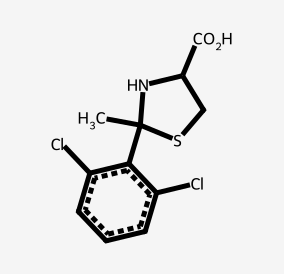 CC1(c2c(Cl)cccc2Cl)NC(C(=O)O)CS1